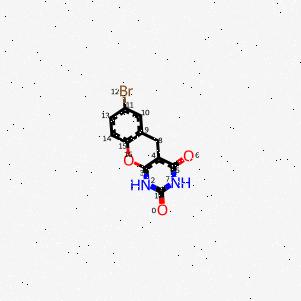 O=c1[nH]c2c(c(=O)[nH]1)Cc1cc(Br)ccc1O2